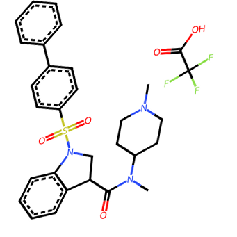 CN1CCC(N(C)C(=O)C2CN(S(=O)(=O)c3ccc(-c4ccccc4)cc3)c3ccccc32)CC1.O=C(O)C(F)(F)F